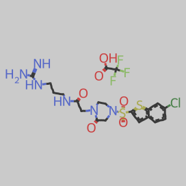 N=C(N)NCCCNC(=O)CN1CCN(S(=O)(=O)c2cc3ccc(Cl)cc3s2)CC1=O.O=C(O)C(F)(F)F